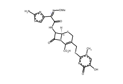 CO/N=C(\C(=O)NC1C(=O)N2C(C(=O)O)=C(CSc3nc(=O)c(O)cn3C)CS[C@H]12)c1csc(N)n1